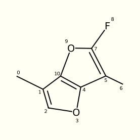 Cc1coc2c(C)c(F)oc12